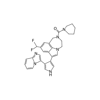 O=C(N1CCCCC1)N1CCn2cc(-c3c[nH]cc3-c3cnc4ccccn34)c3cc(C(F)F)cc(c32)C1